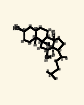 CC(C)CCC(C)C1CC[C@H]2C3CCC4C[C@H](O)CCC4(C)[C@H]3C[C@H](O)[C@]12C